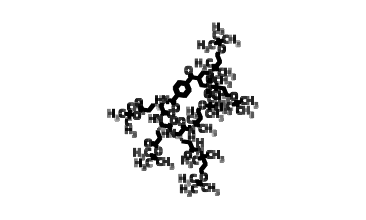 CC(C)(CCOC(C)(C)C)NC(=O)CC[C@H](NC(=O)[C@H](CCC(=O)OC(C)(C)C)NC(=O)[C@H](CCC(=O)OC(C)(C)C)NC(=O)c1ccc(C(=O)C(CSC(C)(C)CCOC(C)(C)C)CS(=O)(=O)C(C)(C)CCOC(C)(C)C)cc1)C(=O)NC(C)(C)CCOC(C)(C)C